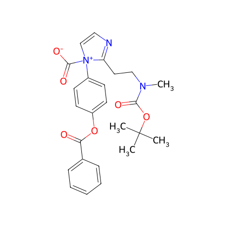 CN(CCC1=NC=C[N+]1(C(=O)[O-])c1ccc(OC(=O)c2ccccc2)cc1)C(=O)OC(C)(C)C